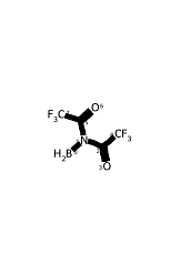 BN(C(=O)C(F)(F)F)C(=O)C(F)(F)F